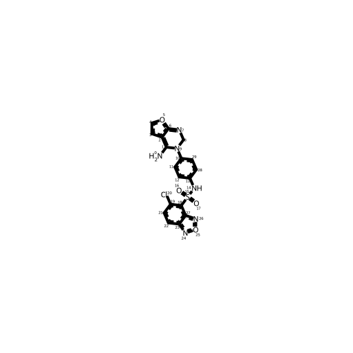 NC1=c2ccoc2=NCN1c1ccc(NS(=O)(=O)c2c(Cl)ccc3nonc23)cc1